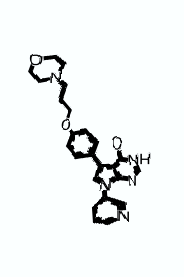 O=c1[nH]cnc2c1c(-c1ccc(OCCCN3CCOCC3)cc1)cn2-c1cccnc1